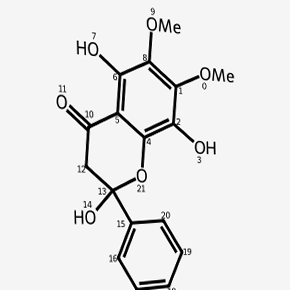 COc1c(O)c2c(c(O)c1OC)C(=O)CC(O)(c1ccccc1)O2